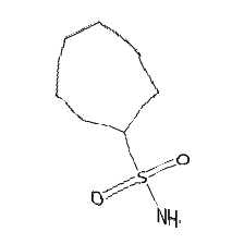 [NH]S(=O)(=O)C1CCCCCC1